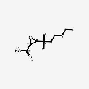 CCCCCC(C)(C)C1OC1C(=O)O